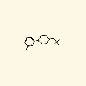 Cc1cccc(N2CCN(CC(F)(F)F)CC2)c1